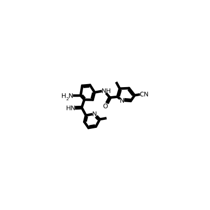 Cc1cccc(C(=N)c2cc(NC(=O)c3ncc(C#N)cc3C)ccc2N)n1